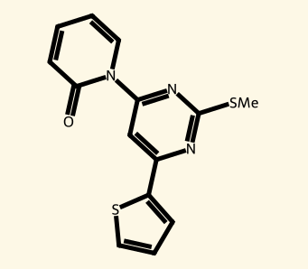 CSc1nc(-c2cccs2)cc(-n2ccccc2=O)n1